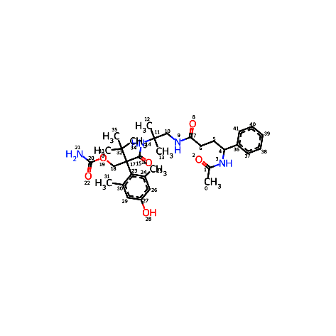 CC(=O)NC(CCC(=O)NCC(C)(C)NC(=O)C(COC(N)=O)(c1c(C)cc(O)cc1C)C(C)(C)C)c1ccccc1